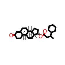 CC(CC(=O)O[C@H]1CC[C@H]2[C@@H]3CCC4=CC(=O)CC[C@]4(C)[C@H]3CC[C@]12C)C1CCCCC1